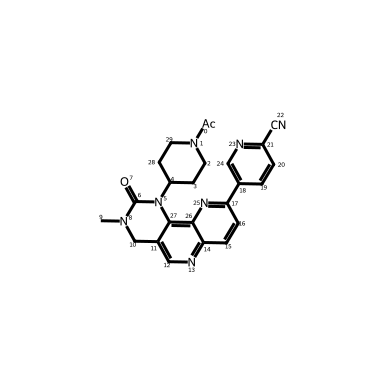 CC(=O)N1CCC(N2C(=O)N(C)Cc3cnc4ccc(-c5ccc(C#N)nc5)nc4c32)CC1